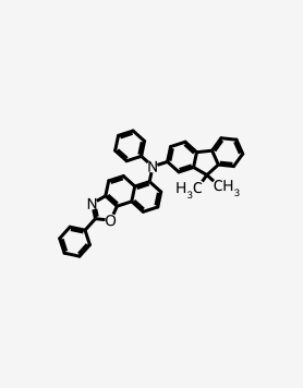 CC1(C)c2ccccc2-c2ccc(N(c3ccccc3)c3cccc4c3ccc3nc(-c5ccccc5)oc34)cc21